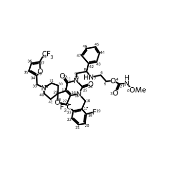 CONC(=O)OCCNC(Cn1c(=O)c2c(n(Cc3c(F)cccc3C(F)(F)F)c1=O)COC21CCN(Cc2ccc(C(F)(F)F)o2)CC1)c1ccccc1